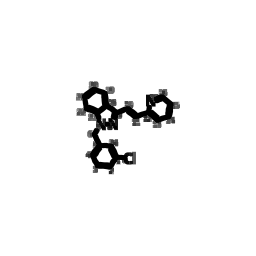 Clc1cccc(Cn2nc(C=Cc3ccccn3)c3ccccc32)c1